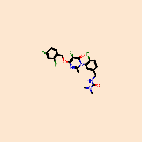 Cc1nc(OCc2ccc(F)cc2F)c(Cl)c(=O)n1-c1cc(CNC(=O)N(C)C)ccc1F